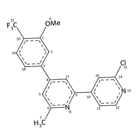 COc1cc(-c2cc(C)nc(-c3ccnc(Cl)c3)c2)ccc1C(F)(F)F